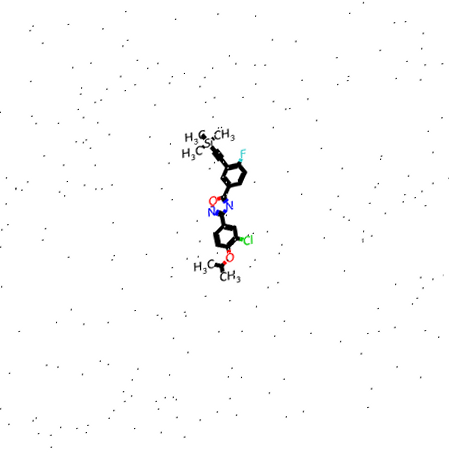 CC(C)Oc1ccc(-c2noc(-c3ccc(F)c(C#C[Si](C)(C)C)c3)n2)cc1Cl